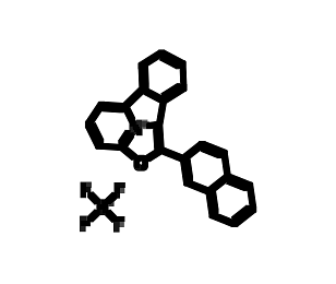 F[B-](F)(F)F.c1ccc2c(c1)-c1cccc3oc(-c4ccc5ccccc5c4)c-2[n+]13